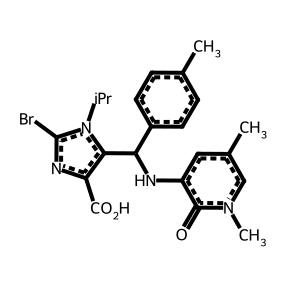 Cc1ccc(C(Nc2cc(C)cn(C)c2=O)c2c(C(=O)O)nc(Br)n2C(C)C)cc1